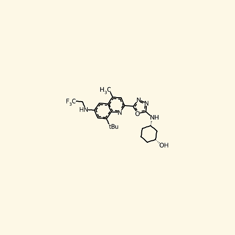 Cc1cc(-c2nnc(N[C@H]3CCC[C@@H](O)C3)o2)nc2c(C(C)(C)C)cc(NCC(F)(F)F)cc12